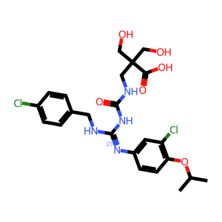 CC(C)Oc1ccc(/N=C(/NCc2ccc(Cl)cc2)NC(=O)NCC(CO)(CO)C(=O)O)cc1Cl